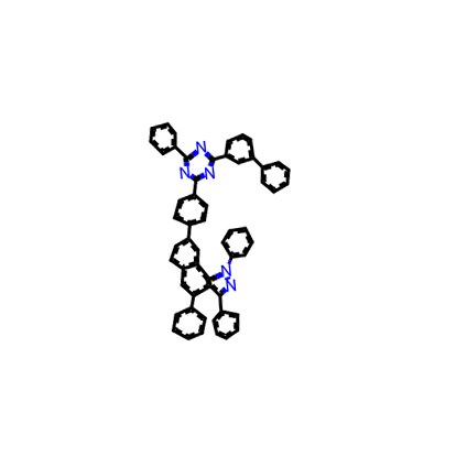 c1ccc(-c2cccc(-c3nc(-c4ccccc4)nc(-c4ccc(-c5ccc6cc(-c7ccccc7)c7c(-c8ccccc8)nn(-c8ccccc8)c7c6c5)cc4)n3)c2)cc1